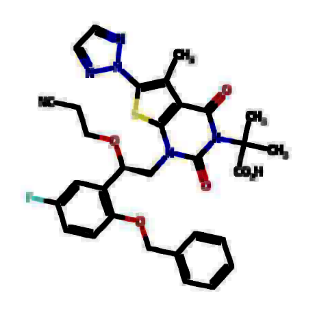 Cc1c(-n2nccn2)sc2c1c(=O)n(C(C)(C)C(=O)O)c(=O)n2C[C@H](OCCC#N)c1cc(F)ccc1OCc1ccccc1